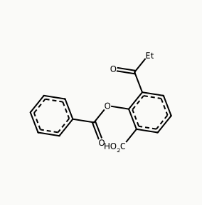 CCC(=O)c1cccc(C(=O)O)c1OC(=O)c1ccccc1